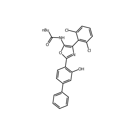 CCCCC(=O)Nc1oc(-c2ccc(-c3ccccc3)cc2O)nc1-c1c(Cl)cccc1Cl